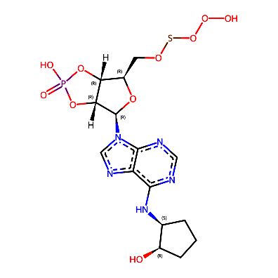 O=P1(O)O[C@@H]2[C@H](O1)[C@@H](COSOOO)O[C@H]2n1cnc2c(N[C@H]3CCC[C@H]3O)ncnc21